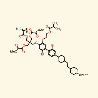 C=C(C)C(=O)OCCCc1cc(-c2ccc(C3CCC(CCC4CCC(CCCCC)CC4)CC3)cc2CC)c(CC)cc1OCC(COC(=O)C(=C)C)(COC(=O)C(=O)OC)COC(=O)C(=O)OC